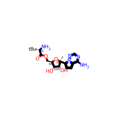 CC(C)(C)[C@H](N)C(=O)OC[C@H]1O[C@@](C)(c2ccc3c(N)ncnn23)[C@H](O)[C@@H]1O